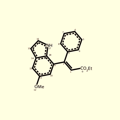 CCOC(=O)C=C(c1ccccc1)c1cc(OC)cc2cc[nH]c12